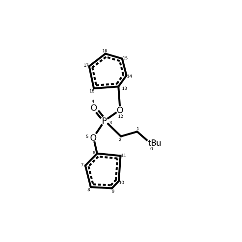 CC(C)(C)CCP(=O)(Oc1ccccc1)Oc1ccccc1